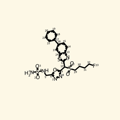 NS(=O)(=O)NCc1nnc(C(c2nc3ccc(-c4ccccc4)cc3s2)S(=O)(=O)CCCCF)o1